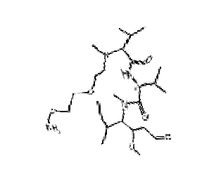 CCC(C)C(C(CC=O)OC)N(C)C(=O)[C@@H](NC(=O)C(C(C)C)N(C)CCOCCON)C(C)C